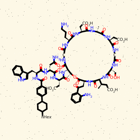 CCCCCCC1CCC(c2ccc(C(=O)N[C@@H](Cc3c[nH]c4ccccc34)C(=O)N[C@H](CC(N)=O)C(=O)N[C@@H](CC(=O)O)C(=O)N[C@@H]3C(=O)NCC(=O)N[C@@H](CCCN)C(=O)N[C@@H](CC(=O)O)C(=O)N[C@H](C)C(=O)N[C@@H](CC(=O)O)C(=O)NCC(=O)N[C@H](CO)C(=O)N[C@@H]([C@H](C)CC(=O)O)C(=O)N[C@@H](CC(=O)c4ccccc4N)C(=O)O[C@@H]3C)cc2)CC1